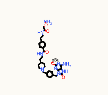 CCCCOc1nc(N)c2[nH]c(=O)n(Cc3ccc(CN4CCC(CCNC(=O)c5ccc(CCNC(=O)CON)cc5)CC4)cc3)c2n1